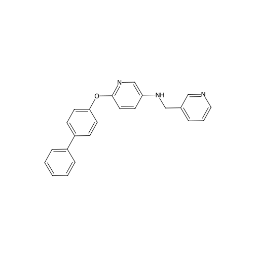 c1ccc(-c2ccc(Oc3ccc(NCc4cccnc4)cn3)cc2)cc1